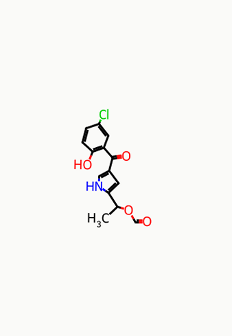 CC(OC=O)c1cc(C(=O)c2cc(Cl)ccc2O)c[nH]1